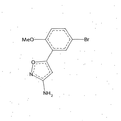 COc1ccc(Br)cc1-c1cc(N)no1